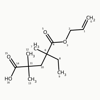 C=CCOC(=O)C(C)(CC)CC(C)(C)C(=O)O